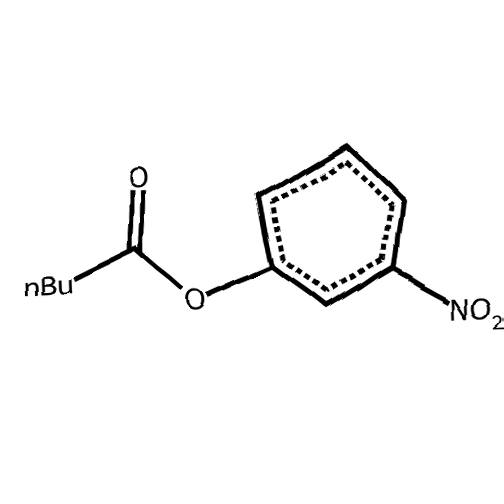 CCCCC(=O)Oc1cccc([N+](=O)[O-])c1